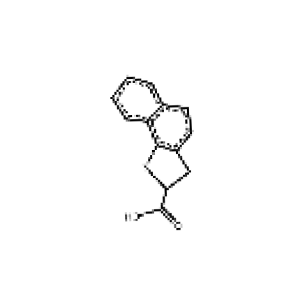 O=C(O)C1Cc2ccc3ccccc3c2S1